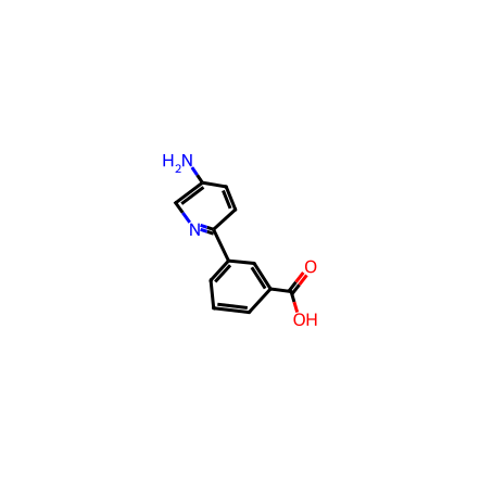 Nc1ccc(-c2cccc(C(=O)O)c2)nc1